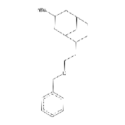 CCCCC1CC2CCC(CCOCc3ccccc3)C(C1)C2